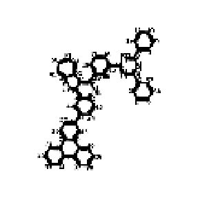 c1ccc(-c2nc(-c3ccccc3)nc(-c3cccc(-c4nc5ccc(-c6ccc7c8ccccc8c8ccccc8c7c6)cc5c5oc6ccccc6c45)c3)n2)cc1